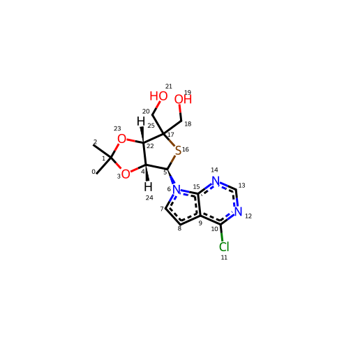 CC1(C)O[C@H]2[C@H](n3ccc4c(Cl)ncnc43)SC(CO)(CO)[C@H]2O1